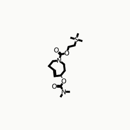 CN(C)C(=O)O[C@@H]1/C=C/CCN(C(=O)OCCS(C)(C)C)CC1